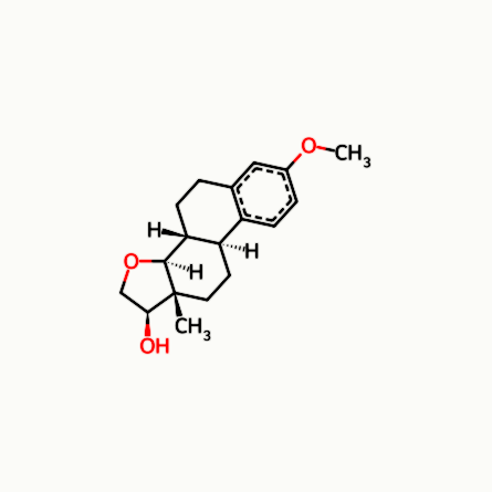 COc1ccc2c(c1)CC[C@@H]1[C@@H]2CC[C@]2(C)[C@@H](O)CO[C@@H]12